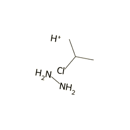 CC(C)Cl.NN.[H+]